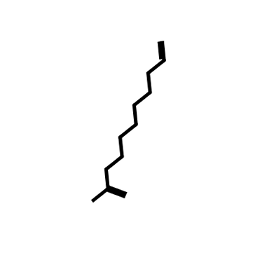 C=CCCCCCCCC(=C)C